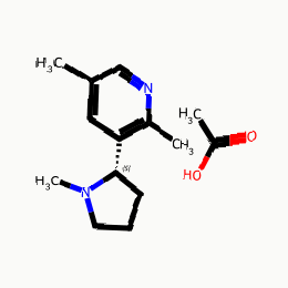 CC(=O)O.Cc1cnc(C)c([C@@H]2CCCN2C)c1